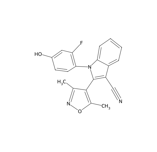 Cc1noc(C)c1-c1c(C#N)c2ccccc2n1-c1ccc(O)cc1F